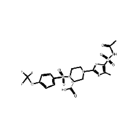 CC(=O)NS(=O)(=O)c1sc(N2CCN(S(=O)(=O)c3ccc(OC(F)(F)F)cc3)[C@@H](C(=O)O)C2)nc1C